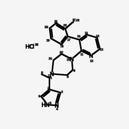 CC(c1cn[nH]c1)N1CCN(c2ncccc2-c2ccccc2F)CC1.Cl